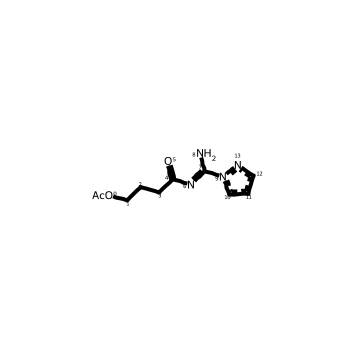 CC(=O)OCCCC(=O)N=C(N)n1cccn1